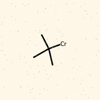 C[C](C)(C)[Cr]